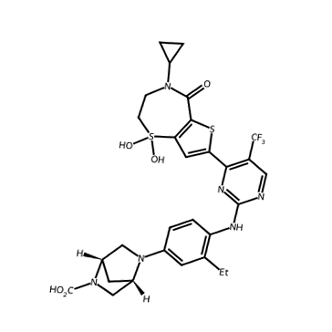 CCc1cc(N2C[C@@H]3C[C@H]2CN3C(=O)O)ccc1Nc1ncc(C(F)(F)F)c(-c2cc3c(s2)C(=O)N(C2CC2)CCS3(O)O)n1